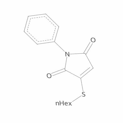 CCCCCCSC1=CC(=O)N(c2ccccc2)C1=O